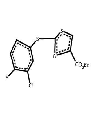 CCOC(=O)c1csc(Sc2ccc(F)c(Cl)c2)n1